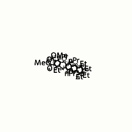 CCCc1c2c(c(CC)c(C(=O)OC)c1C(=O)OC)Cc1c(c(CCC)c3cc4c(CC)c(CC)c(CC)c(CC)c4cc3c1CCC)C2